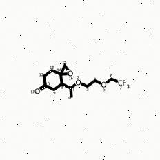 CC(OCCOCC(F)(F)F)C1CC(=O)CCC12CO2